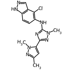 Cc1cc(-c2nc(Nc3ccc4[nH]ncc4c3Cl)n(C)n2)n(C)n1